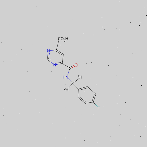 [2H]C([2H])(NC(=O)c1cc(C(=O)O)ncn1)c1ccc(F)cc1